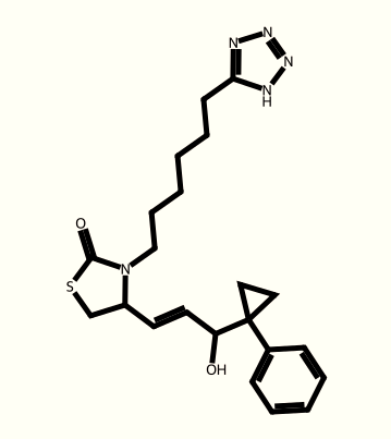 O=C1SCC(C=CC(O)C2(c3ccccc3)CC2)N1CCCCCCc1nnn[nH]1